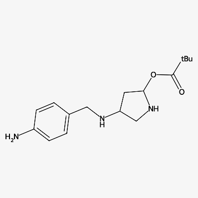 CC(C)(C)C(=O)OC1CC(NCc2ccc(N)cc2)CN1